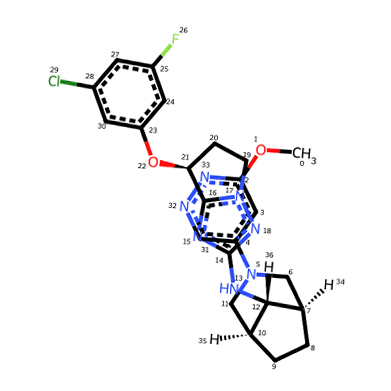 COc1cc(N2C[C@H]3CC[C@@H](C2)[C@@H]3Nc2nc3n(n2)CC[C@@H]3Oc2cc(F)cc(Cl)c2)cnn1